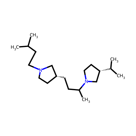 CC(C)CCN1CC[C@@H](CCC(C)N2CC[C@H](C(C)C)C2)C1